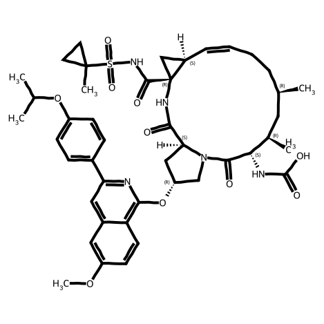 COc1ccc2c(O[C@@H]3C[C@H]4C(=O)N[C@]5(C(=O)NS(=O)(=O)C6(C)CC6)C[C@H]5C=CCC[C@@H](C)C[C@@H](C)[C@H](NC(=O)O)C(=O)N4C3)nc(-c3ccc(OC(C)C)cc3)cc2c1